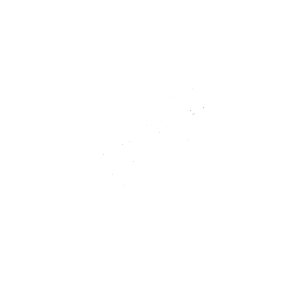 C[C@H](N)c1cc2cccc(Cl)c2c(=O)n1-c1ccc(-c2cnc3ccnn3c2Cl)cc1